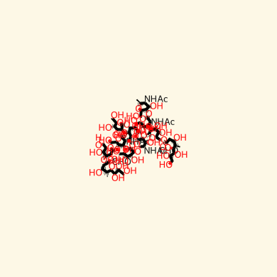 CC(=O)NC1C(OC2[C@@H](OCC3O[C@@H](O[C@@H]4C(CO)O[C@@H](O[C@@H]5C(CO)O[C@@H](C)C(NC(C)=O)[C@H]5O)C(NC(C)=O)[C@H]4O)C(O)[C@@H](O[C@H]4OC(CO)[C@@H](O)C(O)C4O[C@@H]4OC(CO)[C@@H](O[C@@H]5OC(CO)[C@H](O)[C@H](O[C@]6(OC=O)C[C@@H](O)[C@@H](C)C(C(O)[C@H](O)CO)O6)C5O)[C@H](O)C4NC(C)=O)[C@@H]3O)OC(CO)[C@@H](O)[C@@H]2O)O[C@@H](CO)[C@@H](O[C@@H]2OC(CO[C@]3(OC=O)C[C@@H](O)[C@@H](C)C(C(O)[C@H](O)CO)O3)[C@H](O)[C@H](O)C2O)C1O